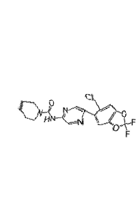 O=C(Nc1cnc(-c2cc3c(cc2Cl)OC(F)(F)O3)cn1)N1CCCCC1